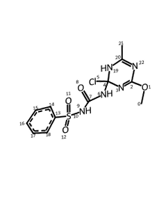 COC1=NC(Cl)(NC(=O)NS(=O)(=O)c2ccccc2)NC(C)=N1